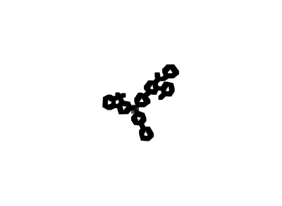 C=C(Cc1ccccc1)c1ccc(-c2ccc(N(c3ccc(-c4ccccc4)cc3)c3ccc4c(c3)C(C)(C)c3ccccc3-4)cc2)cc1-c1ccccc1C